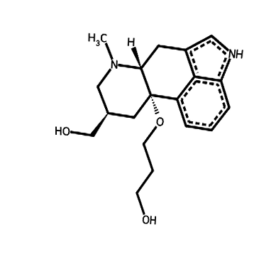 CN1C[C@H](CO)C[C@]2(OCCCO)c3cccc4[nH]cc(c34)C[C@@H]12